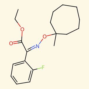 CCOC(=O)/C(=N\OC1(C)CCCCCCC1)c1ccccc1F